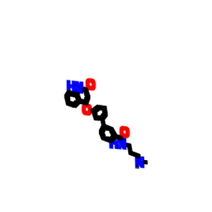 CN(C)CCCNC(=O)c1cccc(-c2cccc(Oc3cc(=O)[nH]c4ccccc34)c2)c1